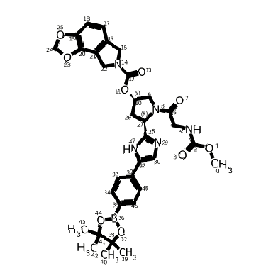 COC(=O)NCC(=O)N1C[C@@H](OC(=O)N2Cc3ccc4c(c3C2)OCO4)C[C@@H]1c1ncc(-c2ccc(B3OC(C)(C)C(C)(C)O3)cc2)[nH]1